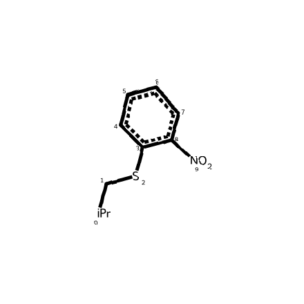 CC(C)CSc1ccccc1[N+](=O)[O-]